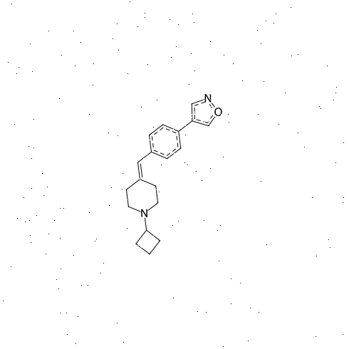 C(=C1CCN(C2CCC2)CC1)c1ccc(-c2cnoc2)cc1